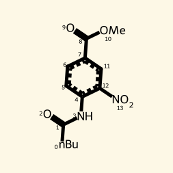 CCCCC(=O)Nc1ccc(C(=O)OC)cc1[N+](=O)[O-]